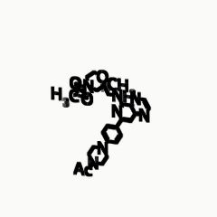 CC(=O)N1CCN(c2ccc(-c3cc4nccnc4c(NC[C@@]4(C)CN(S(C)(=O)=O)CCO4)n3)cc2)CC1